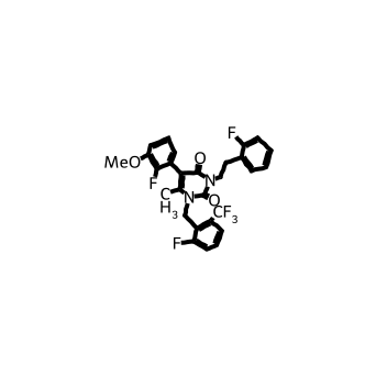 COc1cccc(-c2c(C)n(Cc3c(F)cccc3C(F)(F)F)c(=O)n(CCc3ccccc3F)c2=O)c1F